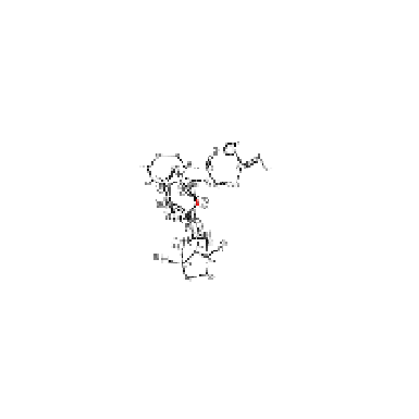 C=C(/C=C\C(Cl)=C/C)[C@H]1CCCCn2nc(N[C@@H]3[C@@H]4CC[C@H]3CN(c3cc(C)ncn3)C4)nc21